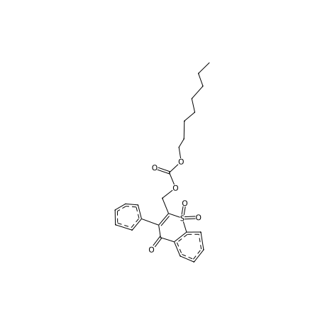 CCCCCCCCOC(=O)OCC1=C(c2ccccc2)C(=O)c2ccccc2S1(=O)=O